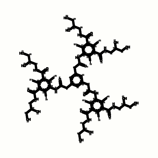 O=C(Cc1cc(CC(=O)Nc2c(I)c(C(=O)NCC(O)CO)c(I)c(C(=O)NCC(O)CO)c2I)cc(CC(=O)Nc2c(I)c(C(=O)NCC(O)CO)c(I)c(C(=O)NCC(O)CO)c2I)c1)Nc1c(I)c(C(=O)NCC(O)CO)c(I)c(C(=O)NCC(O)CO)c1I